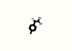 Cc1ccc(C(=O)C(Br)Br)cc1